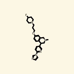 CN1Cc2cc(OCCCN3CCC(F)CC3)ccc2C(c2ccc(-n3ccnc3)nc2)C1